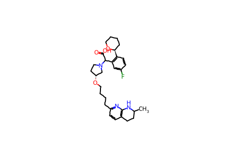 CC1CCc2ccc(CCCCO[C@@H]3CCN(C(C(=O)O)c4cc(F)ccc4[C@@H]4CCCCO4)C3)nc2N1